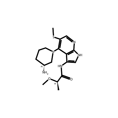 CO[C@H](C)C(=O)Nc1c[nH]c2ncc(SC)c(N3CCC[C@@H](N)C3)c12